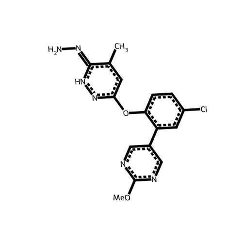 COc1ncc(-c2cc(Cl)ccc2Oc2cc(C)/c(=N/N)[nH]n2)cn1